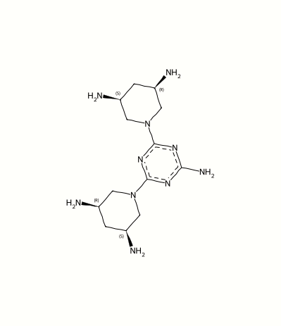 Nc1nc(N2C[C@H](N)C[C@H](N)C2)nc(N2C[C@H](N)C[C@H](N)C2)n1